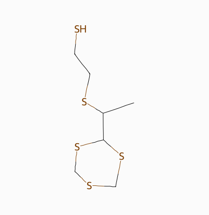 CC(SCCS)C1SCSCS1